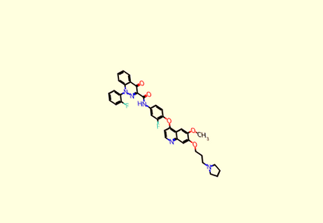 COc1cc2c(Oc3ccc(NC(=O)c4nn(-c5ccccc5F)c5ccccc5c4=O)cc3F)ccnc2cc1OCCCN1CCCC1